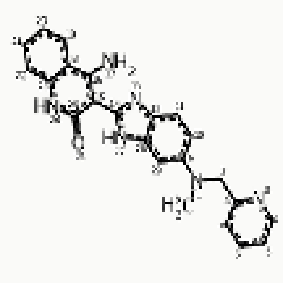 CN(Cc1ccccn1)c1ccc2nc(-c3c(N)c4ccccc4[nH]c3=O)[nH]c2c1